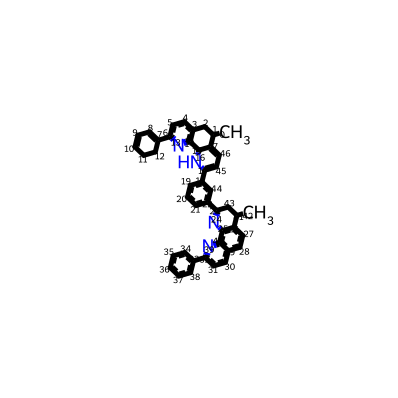 CC1Cc2ccc(C3=CC=CCC3)nc2C2NC(c3cccc(C4=Nc5c(ccc6ccc(-c7ccccc7)nc56)C(C)C4)c3)=CC=C12